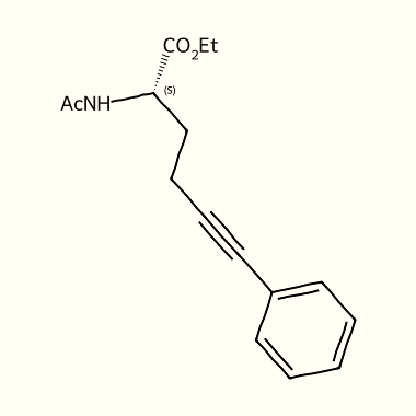 CCOC(=O)[C@H](CCC#Cc1ccccc1)NC(C)=O